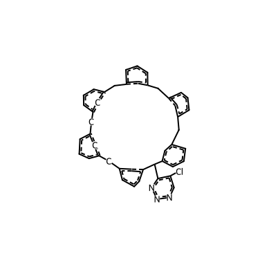 Clc1cnnnc1C1c2cccc(c2)Cc2cccc(c2)Cc2cccc(c2)Cc2cccc(c2)Cc2cccc(c2)Cc2cccc1c2